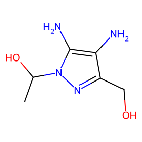 CC(O)n1nc(CO)c(N)c1N